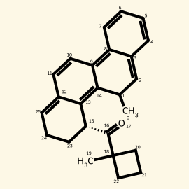 CC1C=c2ccccc2=c2ccc3c(c21)[C@H](C(=O)C1(C)CCC1)CCC=3